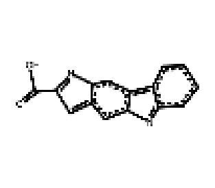 O=C(O)C1=Nc2cc3c(cc2=C1)N=c1ccccc1=3